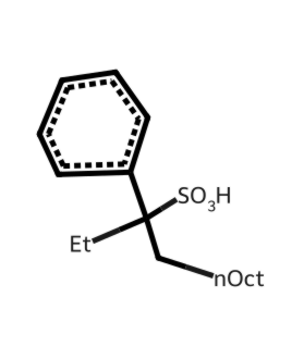 CCCCCCCCCC(CC)(c1ccccc1)S(=O)(=O)O